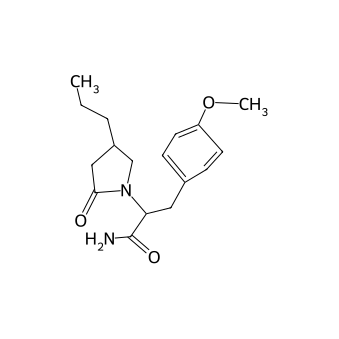 CCCC1CC(=O)N(C(Cc2ccc(OC)cc2)C(N)=O)C1